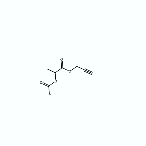 C#CCOC(=O)C(C)OC([CH2])=O